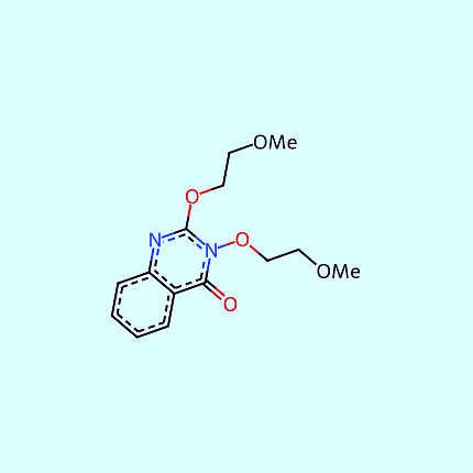 COCCOc1nc2ccccc2c(=O)n1OCCOC